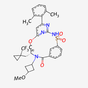 COC1CC(N2C(=O)c3cccc(c3)S(=O)(=O)Nc3nc(cc(-c4c(C)cccc4C)n3)OC[C@H]2CC2(C(F)(F)F)CC2)C1